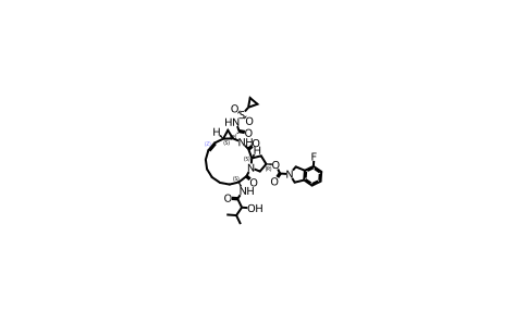 CC(C)C(O)C(=O)N[C@H]1CCCCC/C=C\[C@@H]2C[C@@]2(C(=O)NS(=O)(=O)C2CC2)NC(=O)[C@@H]2C[C@@H](OC(=O)N3Cc4cccc(F)c4C3)CN2C1=O